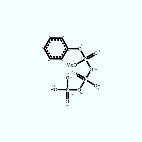 COP(=O)(Oc1ccccc1)OP(=O)(O)OP(=O)(O)O